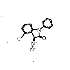 [N-]=[N+]=C1C(=O)N(c2ccccc2)c2cccc(Cl)c21